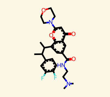 CC(c1ccc(F)c(F)c1)C(C)c1cc(C(=O)NCCN(C)C)cc2c(=O)cc(N3CCOCC3)oc12